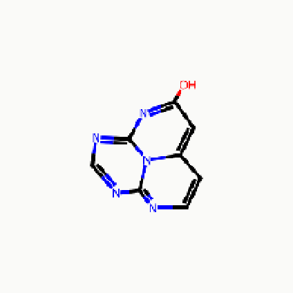 OC1=NC2=NC=NC3=NC=CC(=C1)N32